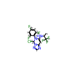 CC(NC1=Cc2ncnn2C(Cl)N1c1c(F)cc(F)cc1F)C(F)(F)F